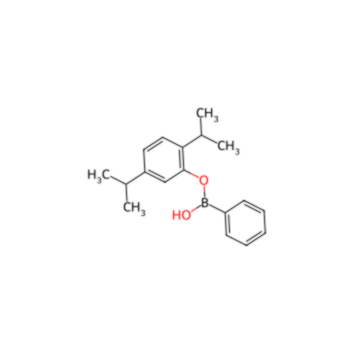 CC(C)c1ccc(C(C)C)c(OB(O)c2ccccc2)c1